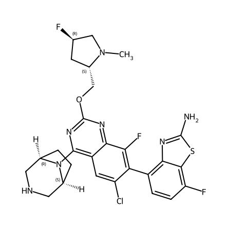 CN1C[C@H](F)C[C@H]1COc1nc(N2[C@@H]3CC[C@H]2CNC3)c2cc(Cl)c(-c3ccc(F)c4sc(N)nc34)c(F)c2n1